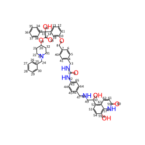 O=C(NCc1ccc(COc2cccc(C(O)(C(=O)OC3CCN(Cc4ccccc4)CC3)c3ccccc3)c2)cc1)Nc1ccc(CNCC(O)c2ccc(O)c3[nH]c(=O)ccc23)cc1